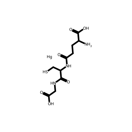 NC(CCC(=O)NC(CS)C(=O)NCC(=O)O)C(=O)O.[Hg]